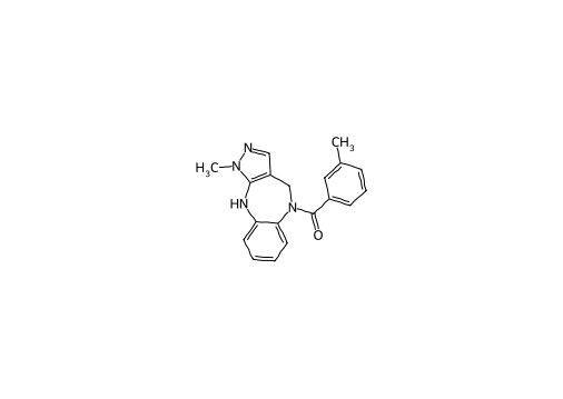 Cc1cccc(C(=O)N2Cc3cnn(C)c3Nc3ccccc32)c1